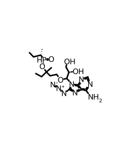 CC[C@H](C)[PH](=O)OC(C)(CC)CCOC([C@H](O)CO)n1c(N=[N+]=[N-])nc2c(N)ncnc21